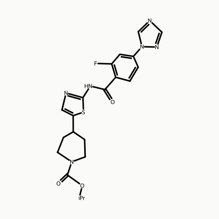 CC(C)OC(=O)N1CCC(c2cnc(NC(=O)c3ccc(-n4cncn4)cc3F)s2)CC1